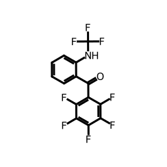 O=C(c1ccccc1NC(F)(F)F)c1c(F)c(F)c(F)c(F)c1F